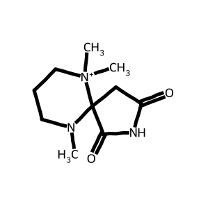 CN1CCC[N+](C)(C)C12CC(=O)NC2=O